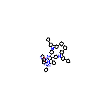 c1ccc(-c2ccc3c(c2)c2cc(-c4ccccc4)ccc2n3-c2ccc(-c3nc(-n4c5ccccc5c5ncccc54)cc(-c4ccccc4-c4nc(-c5ccccc5)nc(-c5ccccc5)n4)c3-c3ccc(-n4c5ccc(-c6ccccc6)cc5c5cc(-c6ccccc6)ccc54)cc3)cc2)cc1